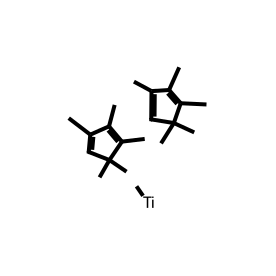 CC1=CC(C)(C)C(C)=C1C.CC1=CC(C)(C)C(C)=C1C.[CH3][Ti]